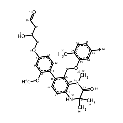 COc1cc(OCC(O)CC=O)ccc1-c1ccc2c(c1COc1cc(F)ccc1C)N(C)C(=O)C(C)(C)N2